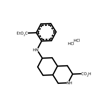 CCOC(=O)c1ccccc1NC1CCC2CNC(C(=O)O)CC2C1.Cl.Cl